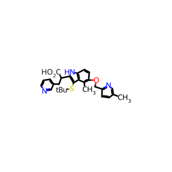 Cc1ccc(COc2ccc3[nH]c(C(Cc4cccnc4)C(=O)O)c(SC(C)(C)C)c3c2C)nc1